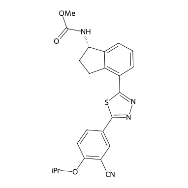 COC(=O)N[C@H]1CCc2c(-c3nnc(-c4ccc(OC(C)C)c(C#N)c4)s3)cccc21